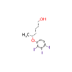 CC(CCCCO)Oc1ccc(I)c(I)c1I